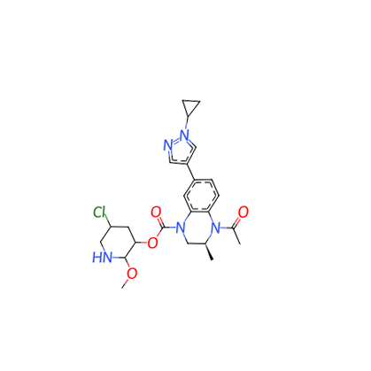 COC1NCC(Cl)CC1OC(=O)N1C[C@H](C)N(C(C)=O)c2ccc(-c3cnn(C4CC4)c3)cc21